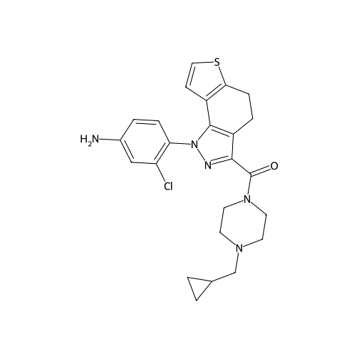 Nc1ccc(-n2nc(C(=O)N3CCN(CC4CC4)CC3)c3c2-c2ccsc2CC3)c(Cl)c1